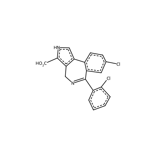 O=C(O)c1[nH]cc2c1CN=C(c1ccccc1Cl)c1cc(Cl)ccc1-2